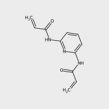 C=CC(=O)Nc1cccc(NC(=O)C=C)n1